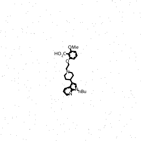 CCCCn1cc(C2CCN(CCOc3cccc(OC)c3C(=O)O)CC2)c2cccnc21